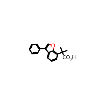 CC(C)(C(=O)O)c1cccc2c(-c3ccccc3)coc12